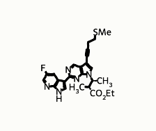 CCOC(=O)[C@@H](C)[C@H](C)n1cc(C#CCCSC)c2cnc(-c3c[nH]c4ncc(F)cc34)nc21